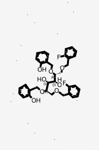 Oc1ccccc1CO[C@H](COCc1ccccc1F)[C@@H](O)[C@H](O)[C@@H](COCc1ccccc1F)OCc1ccccc1O